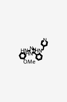 COc1cccc(Nc2nnc(-c3ccccc3NCc3ccncc3)[nH]2)c1